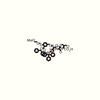 COCCOCOc1ccc(CO/N=C(/C(=O)N[C@@H]2C(=O)N3C(C(=O)O)=C(CCl)CS[C@H]23)c2csc(NC(c3ccccc3)(c3ccccc3)c3ccccc3)n2)cc1C(=O)OC(c1ccccc1)c1ccccc1